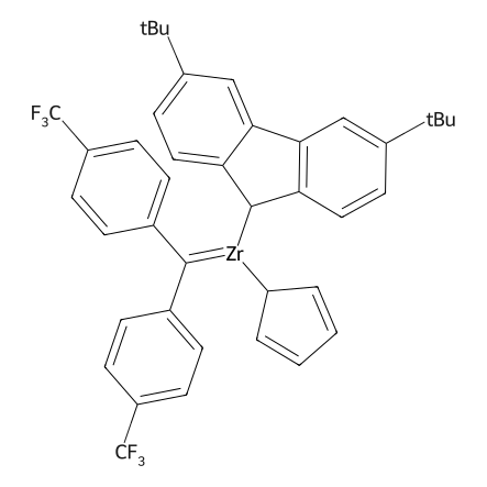 CC(C)(C)c1ccc2c(c1)-c1cc(C(C)(C)C)ccc1[CH]2[Zr](=[C](c1ccc(C(F)(F)F)cc1)c1ccc(C(F)(F)F)cc1)[CH]1C=CC=C1